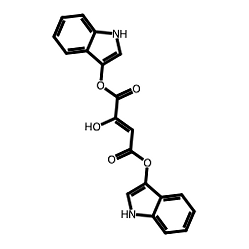 O=C(/C=C(\O)C(=O)Oc1c[nH]c2ccccc12)Oc1c[nH]c2ccccc12